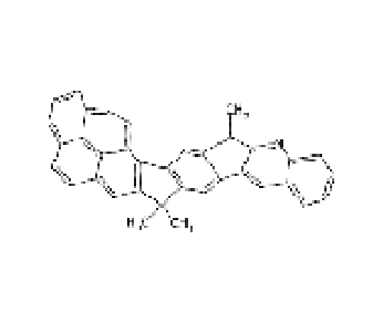 CC1c2cc3c(cc2-c2cc4ccccc4nc21)C(C)(C)c1cc2ccc4cccc5ccc(c1-3)c2c45